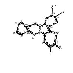 Fc1cc2c(nc1F)c1cc(F)c(F)nc1c1cc3ccccc3nc21